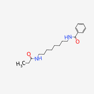 CCC(=O)NCCCCCCCCNC(=O)c1ccccc1